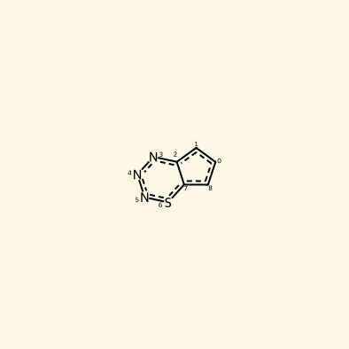 c1cc2nnnsc-2c1